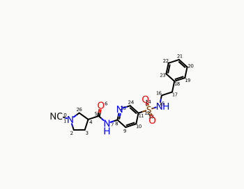 N#CN1CCC(C(=O)Nc2ccc(S(=O)(=O)NCCc3ccccc3)cn2)C1